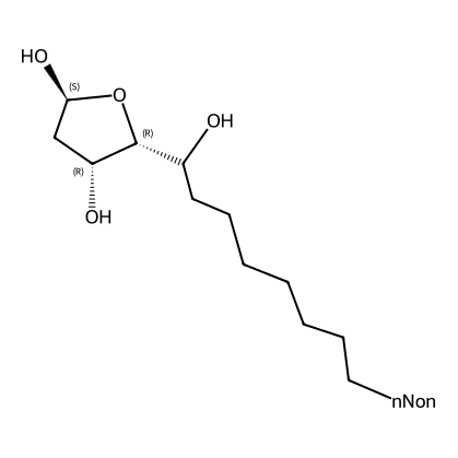 CCCCCCCCCCCCCCCCC(O)[C@H]1O[C@H](O)C[C@H]1O